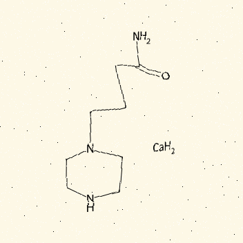 NC(=O)CCCN1CCNCC1.[CaH2]